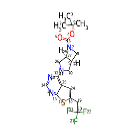 CC(C)(C)OC(=O)N1C[C@H]2CN(c3ncnc4sc(CC(F)(F)F)cc34)C[C@H]21